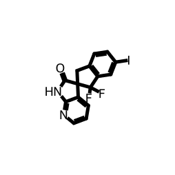 O=C1Nc2ncccc2C12Cc1ccc(I)cc1C2(F)F